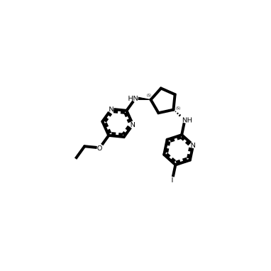 CCOc1cnc(N[C@H]2CC[C@H](Nc3ccc(I)cn3)C2)nc1